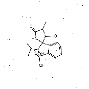 CC(C)C(O)C1(c2ccccc2C(O)=S)NC(=O)C(C)C1O